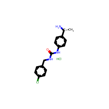 C[C@@H](N)c1ccc(NC(=O)NCc2ccc(Cl)cc2)cc1.Cl